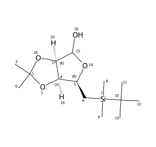 CC1(C)O[C@@H]2[C@H](C[Si](C)(C)C(C)(C)C)OC(O)[C@@H]2O1